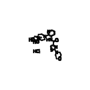 Cl.O=C(Nc1cccnc1N1CC[N+](O)(CO)CC1)c1csc(N2CCOCC2)n1